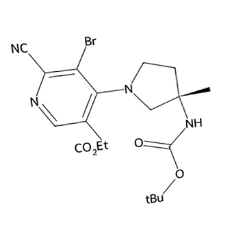 CCOC(=O)c1cnc(C#N)c(Br)c1N1CC[C@](C)(NC(=O)OC(C)(C)C)C1